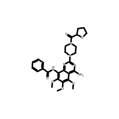 COc1c(OC)c(OC)c2c(N)nc(N3CCN(C(=O)C4CCCO4)CC3)nc2c1NC(=O)c1ccccc1